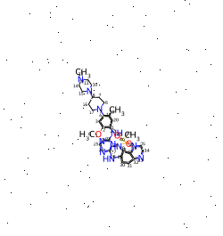 COc1cc(N2CCC(N3CCN(C)CC3)CC2)c(C)cc1Nc1ncnc(Nc2ccc3nccnc3c2NS(C)(=O)=O)n1